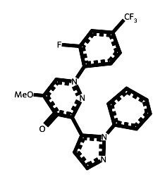 COc1cn(-c2ccc(C(F)(F)F)cc2F)nc(-c2ccnn2-c2ccccc2)c1=O